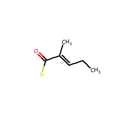 CC/C=C(\C)C(=O)[S]